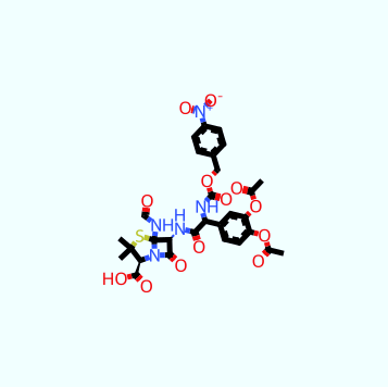 CC(=O)Oc1ccc(C(NC(=O)OCc2ccc([N+](=O)[O-])cc2)C(=O)N[C@@H]2C(=O)N3[C@@H](C(=O)O)C(C)(C)SC23NC=O)cc1OC(C)=O